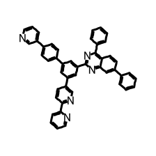 c1ccc(-c2ccc3c(-c4ccccc4)nc(-c4cc(-c5ccc(-c6cccnc6)cc5)cc(-c5ccc(-c6ccccn6)nc5)c4)nc3c2)cc1